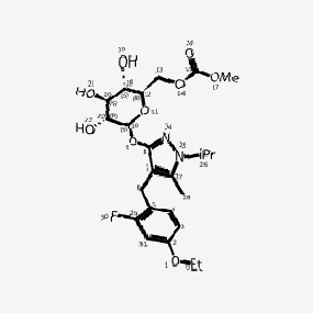 CCOc1ccc(Cc2c(O[C@@H]3O[C@H](COC(=O)OC)[C@@H](O)[C@H](O)[C@H]3O)nn(C(C)C)c2C)c(F)c1